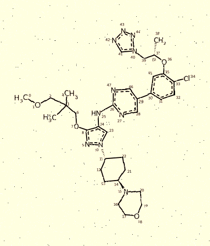 COCC(C)(C)COc1nn([C@H]2CC[C@H](N3CCOCC3)CC2)cc1Nc1ncc(-c2ccc(Cl)c(O[C@@H](C)Cn3cnnn3)c2)cn1